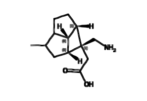 CC1C[C@@H]2[C@@H]3C1CC[C@@H]3[C@]2(CN)CC(=O)O